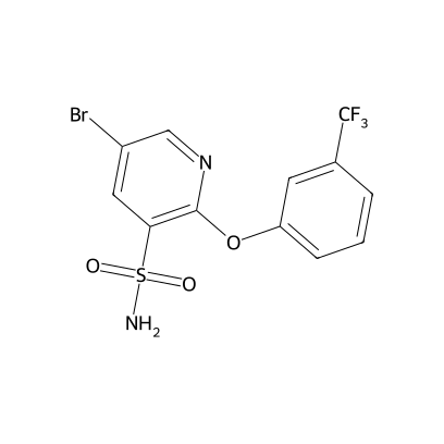 NS(=O)(=O)c1cc(Br)cnc1Oc1cccc(C(F)(F)F)c1